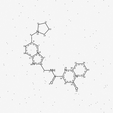 O=C(NCc1cn2cc(CN3CCCC3)ccc2n1)c1cc(=O)n2ccccc2n1